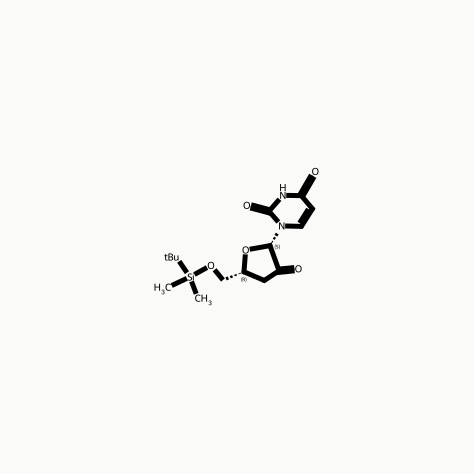 CC(C)(C)[Si](C)(C)OC[C@H]1CC(=O)[C@@H](n2ccc(=O)[nH]c2=O)O1